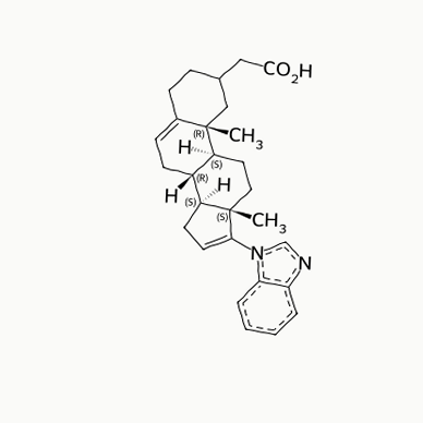 C[C@]12CC(CC(=O)O)CCC1=CC[C@@H]1[C@@H]2CC[C@]2(C)C(n3cnc4ccccc43)=CC[C@@H]12